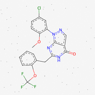 COc1ccc(Cl)cc1-n1ncc2c(=O)[nH]c(Cc3ccccc3OC(F)(F)F)nc21